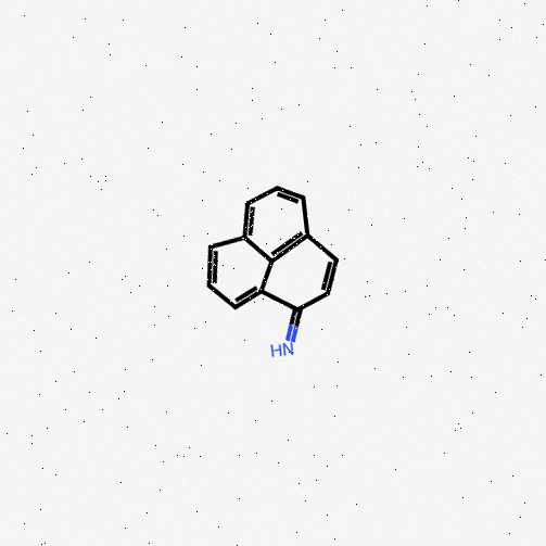 N=C1C=Cc2cccc3cccc1c23